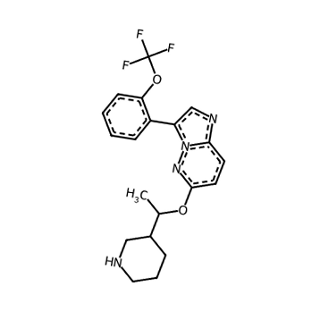 CC(Oc1ccc2ncc(-c3ccccc3OC(F)(F)F)n2n1)C1CCCNC1